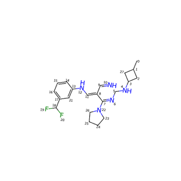 CC1CC(NC/N=C(\C(C=N)=C\Nc2cccc(C(F)F)c2)N2CCCC2)C1